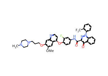 COc1cc2c(Oc3ccc(NC(=O)c4nn(-c5ccccc5C(F)(F)F)c5ccccc5c4=O)cc3F)ccnc2cc1OCCCN1CCN(C)CC1